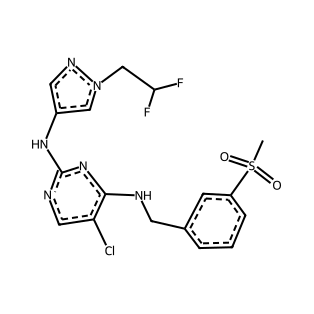 CS(=O)(=O)c1cccc(CNc2nc(Nc3cnn(CC(F)F)c3)ncc2Cl)c1